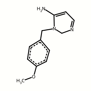 COc1ccc(CN2CN=CC=C2N)cc1